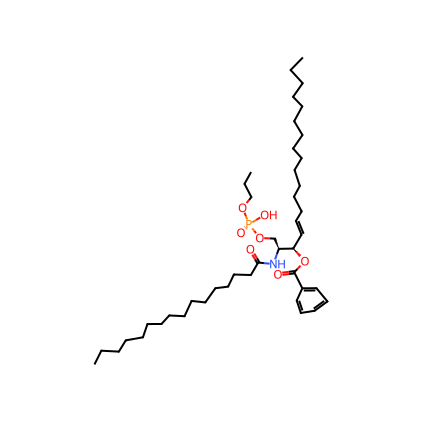 CCCCCCCCCCCCC/C=C/[C@@H](OC(=O)c1ccccc1)[C@H](COP(=O)(O)OCCC)NC(=O)CCCCCCCCCCCCCCC